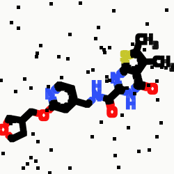 Cc1sc2nc(C(=O)NCc3ccnc(OCC4CCOC4)c3)[nH]c(=O)c2c1C